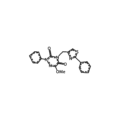 COc1nn(-c2ccccc2)c(=O)n(Cc2csc(-c3ccccc3)n2)c1=O